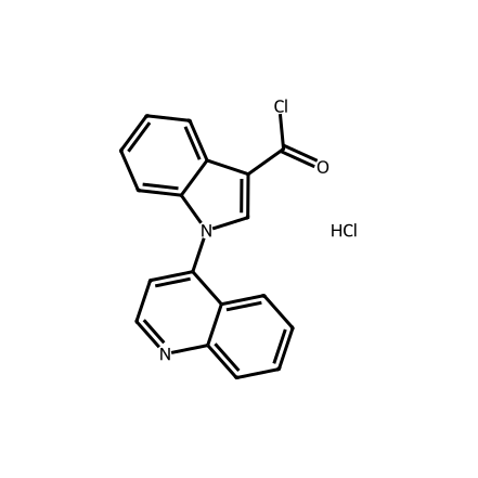 Cl.O=C(Cl)c1cn(-c2ccnc3ccccc23)c2ccccc12